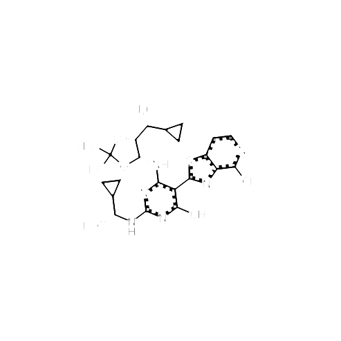 CC[C@H](C1CC1)[C@H]1OC(C)(C)O[C@H]1Nc1nc(N[C@H](C)C2CC2)nc(C)c1-c1nc2c(C)nccc2s1